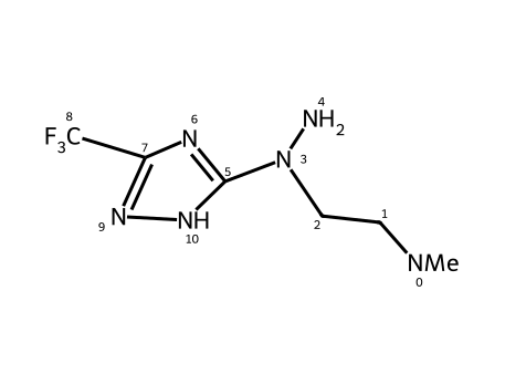 CNCCN(N)c1nc(C(F)(F)F)n[nH]1